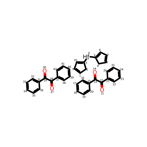 C1=CC[C]([Hf][C]2=CC=CC2)=C1.O=C(C(=O)c1ccccc1)c1ccccc1.O=C(C(=O)c1ccccc1)c1ccccc1